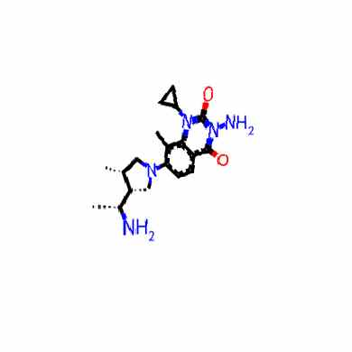 [CH2][C@@H](N)[C@H]1CN(c2ccc3c(=O)n(N)c(=O)n(C4CC4)c3c2C)C[C@H]1C